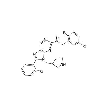 Fc1ccc(Cl)cc1CNc1ncc2nc(-c3ccccc3Cl)n(CC3CCNC3)c2n1